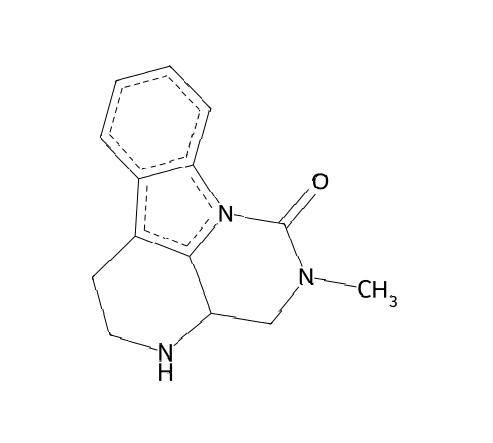 CN1CC2NCCc3c2n(c2ccccc32)C1=O